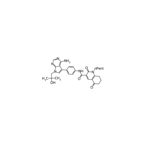 CCCCCn1c2c(cc(C(=O)Nc3ccc(-c4cn(CC(C)(C)O)c5ncnc(N)c45)cc3)c1=O)C(=O)CCC2